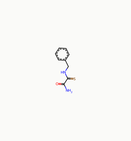 NC(=O)C(=S)NCc1ccccc1